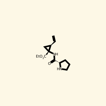 C=C[C@@H]1C[C@]1(NC(=O)[C@@H]1CCCN1)C(=O)OCC